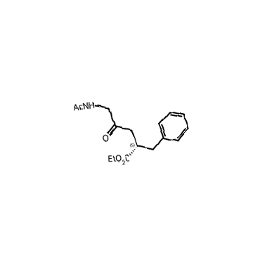 CCOC(=O)[C@H](CC(=O)CNC(C)=O)Cc1ccccc1